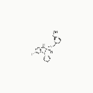 O=C(NCc1cccc(CO)c1)C1Nc2ccc(F)cc2C1c1ccccc1